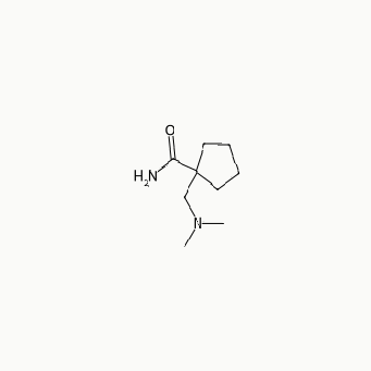 CN(C)CC1(C(N)=O)CCCC1